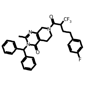 Cc1nc2c(c(=O)n1C(c1ccccc1)c1ccccc1)CCN(C(=O)C(CCc1ccc(F)cc1)C(F)(F)F)C2